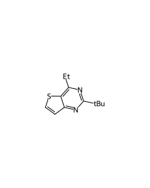 CCc1nc(C(C)(C)C)nc2ccsc12